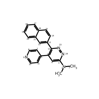 CN(C)c1cc(-c2ccncc2)c(-c2ccc3ccccc3c2)nn1